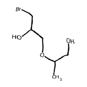 CC(CO)OCC(O)CBr